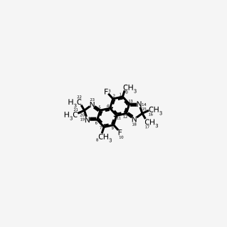 Cc1c(F)c2c3c(c(C)c(F)c2c2c1=NC(C)(C)N=2)=NC(C)(C)N=3